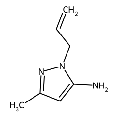 C=CCn1nc(C)cc1N